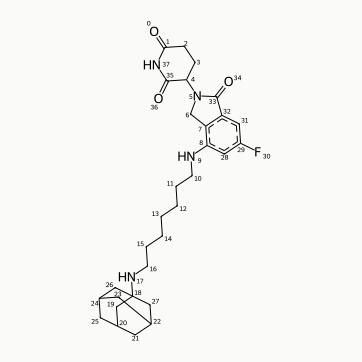 O=C1CCC(N2Cc3c(NCCCCCCCNC45CC6CC(CC(C6)C4)C5)cc(F)cc3C2=O)C(=O)N1